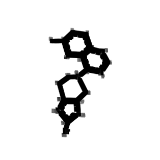 Cc1ccc2ncnc(N3CCc4nc(Br)sc4C3)c2c1